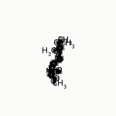 COC(=O)c1ccc2nc(CN3CCC(c4cccc(OCc5ccc(C(=O)C(C)C)cc5OC)n4)CC3)n(C[C@@H]3CCO3)c2c1